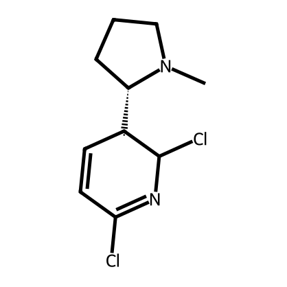 CN1CCC[C@H]1[C]1C=CC(Cl)=NC1Cl